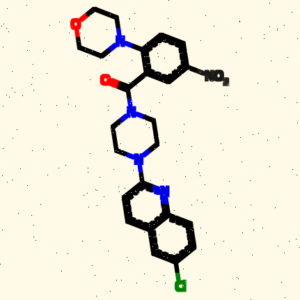 O=C(c1cc([N+](=O)[O-])ccc1N1CCOCC1)N1CCN(c2ccc3cc(Cl)ccc3n2)CC1